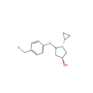 O[C@@H]1C[C@@H](C2CC2)N(Sc2ccc(CF)cc2)C1